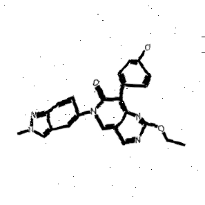 CCOc1ncc2cn(-c3ccc4nn(C)cc4c3)c(=O)c(-c3ccc(Cl)cc3)c2n1